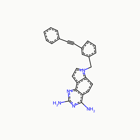 Nc1nc(N)c2ccc3c(ccn3Cc3cccc(C#Cc4ccccc4)c3)c2n1